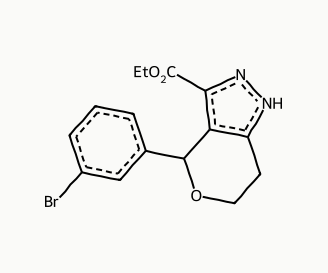 CCOC(=O)c1n[nH]c2c1C(c1cccc(Br)c1)OCC2